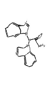 NC(=O)N(n1cnc2ccccc21)n1cnc2ccccc21